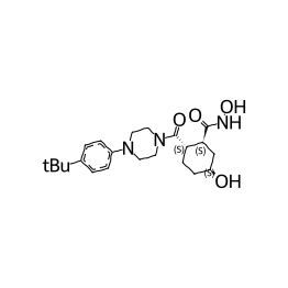 CC(C)(C)c1ccc(N2CCN(C(=O)[C@H]3CC[C@H](O)C[C@@H]3C(=O)NO)CC2)cc1